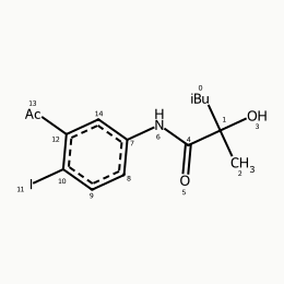 CCC(C)C(C)(O)C(=O)Nc1ccc(I)c(C(C)=O)c1